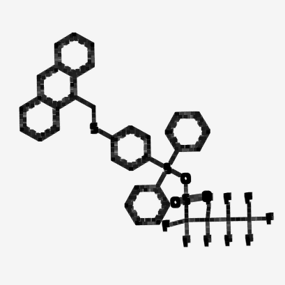 O=S(=O)(OS(c1ccccc1)(c1ccccc1)c1ccc(SCc2c3ccccc3cc3ccccc23)cc1)C(F)(F)C(F)(F)C(F)(F)C(F)(F)F